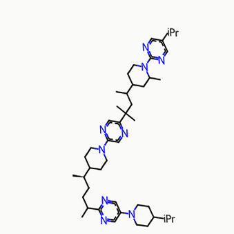 CC(C)c1cnc(N2CCC(C(C)CC(C)(C)c3cnc(N4CCC([C@H](C)CCC(C)c5ncc(N6CCC(C(C)C)CC6)cn5)CC4)cn3)CC2C)nc1